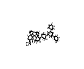 N#Cc1cccc2c1Oc1ccc(-c3ccc(-c4nc(-c5ccccc5)cc(-c5ccccc5)n4)cc3)cc1C21c2ccccc2-c2ccccc21